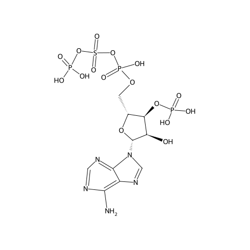 Nc1ncnc2c1ncn2[C@@H]1O[C@H](COP(=O)(O)OS(=O)(=O)OP(=O)(O)O)[C@@H](OP(=O)(O)O)[C@H]1O